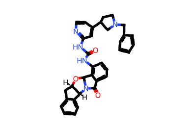 O=C(Nc1cc(C2CCN(Cc3ccccc3)C2)ccn1)Nc1cccc2c1C1O[C@@H]3Cc4ccccc4[C@@H]3N1C2=O